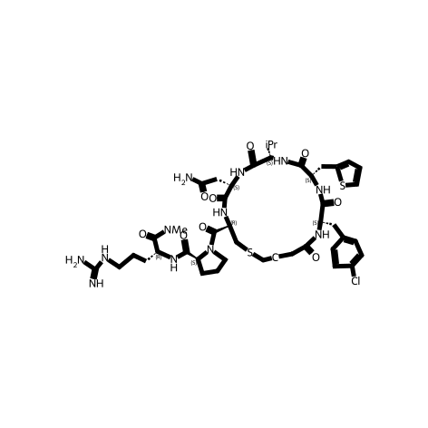 CNC(=O)[C@@H](CCCNC(=N)N)NC(=O)[C@@H]1CCCN1C(=O)[C@@H]1CSCCCC(=O)N[C@@H](Cc2ccc(Cl)cc2)C(=O)N[C@@H](Cc2cccs2)C(=O)N[C@@H](C(C)C)C(=O)N[C@@H](CC(N)=O)C(=O)N1